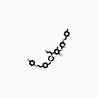 Cc1ccc(COc2ccc(Oc3c(C)cc(C(=CC=O)N4CCN(Cc5ccc(CCOc6ccc(F)cc6)cc5)C[C@H]4C)cc3Cl)nc2)cc1